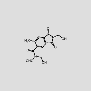 Cc1cc2c(cc1C(=O)N(C=O)CO)C(=O)N(CO)C2=O